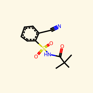 CC(C)(C)C(=O)NS(=O)(=O)c1ccccc1C#N